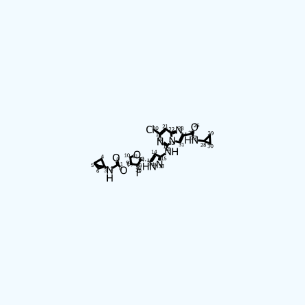 O=C(NC12CC(C1)C2)O[C@@H]1CO[C@H](c2cc(Nc3nc(Cl)cc4nc(C(=O)NC5CC5)cn34)n[nH]2)[C@@H]1F